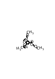 CCOCCOC(=O)c1cc(-c2ncc(C)s2)c2c(c1)N(CCOCC)CCO2